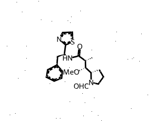 CO[C@H]([C@@H](C)C(=O)N[C@@H](Cc1ccccc1)c1nccs1)[C@@H]1CCCN1C=O